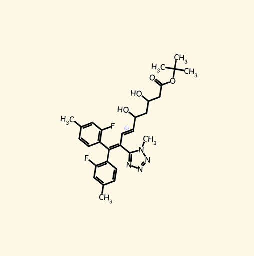 Cc1ccc(C(=C(/C=C/C(O)CC(O)CC(=O)OC(C)(C)C)c2nnnn2C)c2ccc(C)cc2F)c(F)c1